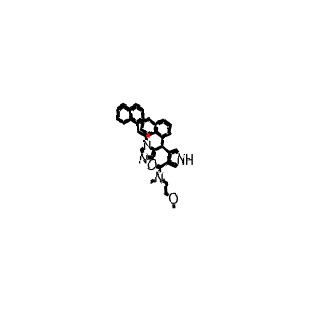 COCCN(C)C(=O)c1c[nH]cc1C(c1cccc2ccccc12)c1cncn1CCc1cccc2ccccc12